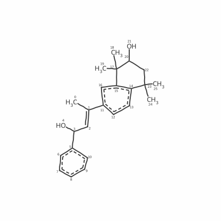 CC(=CC(O)c1ccccc1)c1ccc2c(c1)C(C)(C)C(O)CC2(C)C